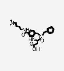 CN(C)CCCCNC(=O)c1ccc2c(c1)NC(CC(=O)O)C(=O)N(CCc1ccccc1)C2